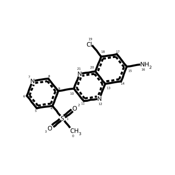 CS(=O)(=O)c1ccncc1-c1cnc2cc(N)cc(Cl)c2n1